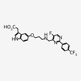 O=C(O)Cc1c[nH]c2ccc(OCCCNCc3nc(-c4ccc(C(F)(F)F)cc4)ncc3F)cc12